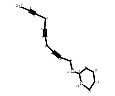 CCC#CCC#CCC#CCOC1CCCCO1